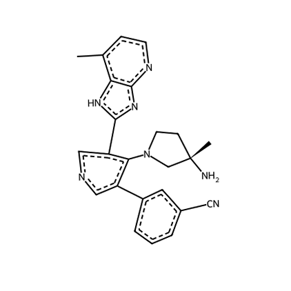 Cc1ccnc2nc(-c3cncc(-c4cccc(C#N)c4)c3N3CC[C@](C)(N)C3)[nH]c12